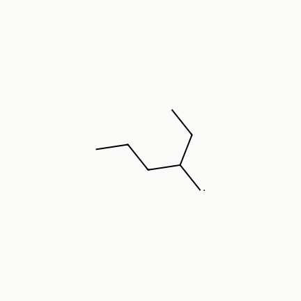 [CH2]C(CC)CCC